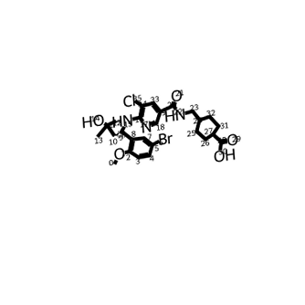 COc1ccc(Br)cc1[C@H](CC(C)(C)O)Nc1ncc(C(=O)NCC2CCC(C(=O)O)CC2)cc1Cl